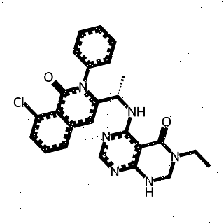 CCN1CNc2ncnc(N[C@@H](C)c3cc4cccc(Cl)c4c(=O)n3-c3ccccc3)c2C1=O